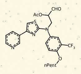 CCCCCOc1ccc(N(CC(C=O)OC(C)=O)c2nc(-c3cccnc3)cs2)cc1C(F)(F)F